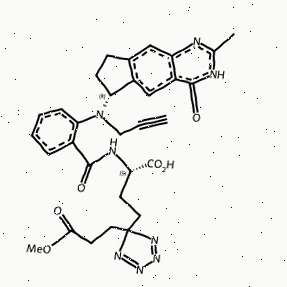 C#CCN(c1ccccc1C(=O)N[C@@H](CCC1(CCC(=O)OC)N=NN=N1)C(=O)O)[C@@H]1CCc2cc3nc(C)[nH]c(=O)c3cc21